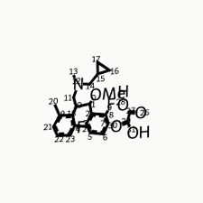 COC(c1c(F)cccc1F)C(CN(C)CC1CC1)c1c(C)cccc1C.O=C(O)C(=O)O